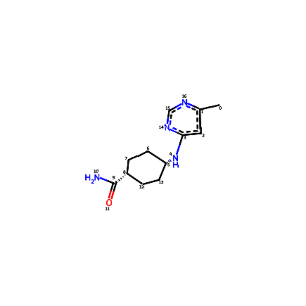 Cc1cc(N[C@H]2CC[C@@H](C(N)=O)CC2)ncn1